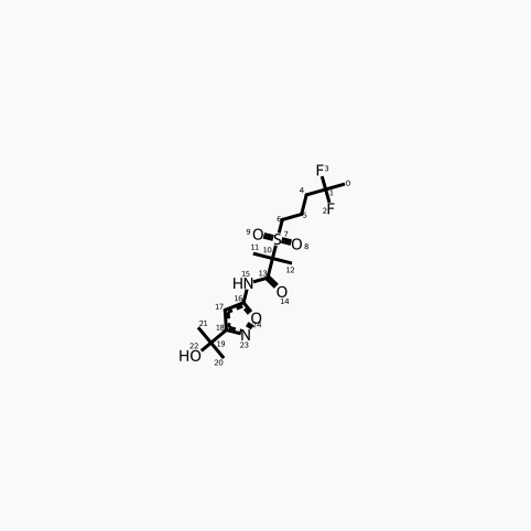 CC(F)(F)CCCS(=O)(=O)C(C)(C)C(=O)Nc1cc(C(C)(C)O)no1